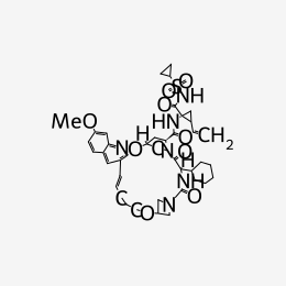 C=CC1C[C@]1(NC(=O)[C@@H]1C[C@@H]2CN1C(=O)[C@H](C1CCCCC1)NC(=O)N1CC(C1)OCCC/C=C/c1cc3ccc(OC)cc3nc1O2)C(=O)NS(=O)(=O)C1CC1